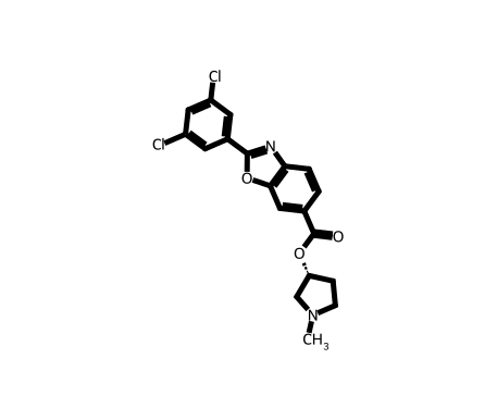 CN1CC[C@@H](OC(=O)c2ccc3nc(-c4cc(Cl)cc(Cl)c4)oc3c2)C1